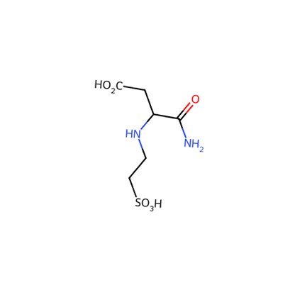 NC(=O)C(CC(=O)O)NCCS(=O)(=O)O